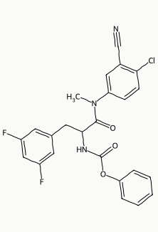 CN(C(=O)C(Cc1cc(F)cc(F)c1)NC(=O)Oc1ccccc1)c1ccc(Cl)c(C#N)c1